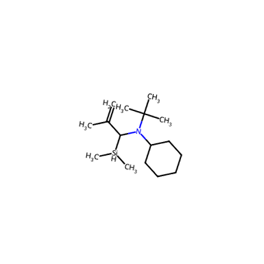 C=C(C)C(N(C1CCCCC1)C(C)(C)C)[SiH](C)C